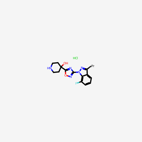 CC(C)c1nn(-c2noc(C3(O)CCNCC3)n2)c2c(F)cccc12.Cl